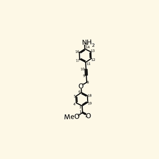 COC(=O)c1ccc(OCC#Cc2ccc(N)cc2)cc1